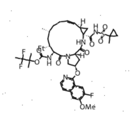 CC[C@@H]1C[C@H](C)CC/C=C\[C@@H]2C[C@@]2(C(=O)NS(=O)(=O)C2(C)CC2)NC(=O)[C@@H]2C[C@@H](Oc3nccc4cc(OC)c(F)cc34)CN2C(=O)[C@H]1NC(=O)OC(C)(C)C(C)(F)F